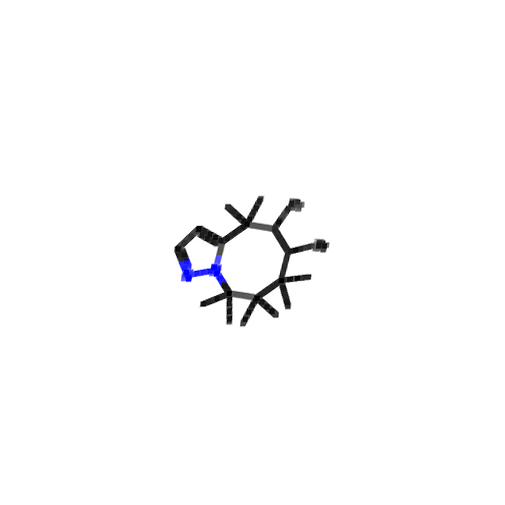 CC(C)C1C(C(C)C)C(C)(C)C(C)(C)C(C)(C)n2nccc2C1(C)C